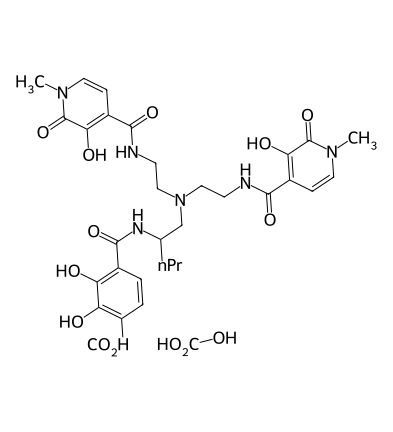 CCCC(CN(CCNC(=O)c1ccn(C)c(=O)c1O)CCNC(=O)c1ccn(C)c(=O)c1O)NC(=O)c1ccc(C(=O)O)c(O)c1O.O=C(O)O